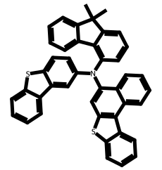 CC1(C)c2ccccc2-c2c(N(c3ccc4sc5ccccc5c4c3)c3cc4sc5ccccc5c4c4ccccc34)cccc21